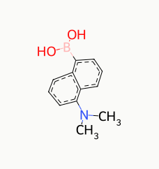 CN(C)c1cccc2c(B(O)O)cccc12